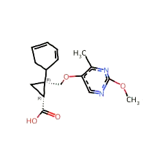 COc1ncc(OC[C@@]2(C3C=CC=CC3)C[C@H]2C(=O)O)c(C)n1